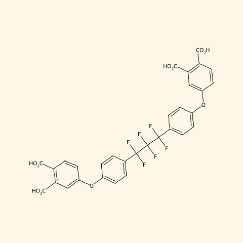 O=C(O)c1ccc(Oc2ccc(C(F)(F)C(F)(F)C(F)(F)c3ccc(Oc4ccc(C(=O)O)c(C(=O)O)c4)cc3)cc2)cc1C(=O)O